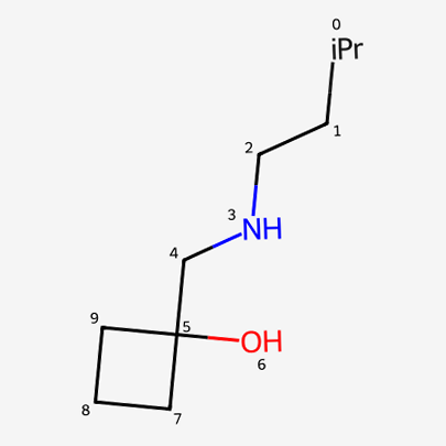 CC(C)CCNCC1(O)CCC1